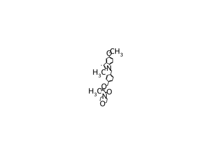 COc1ccc2c([c]c(C)n2Cc2ccc(CO[C@H](C)C(=O)N3CCOCC3)cc2)c1